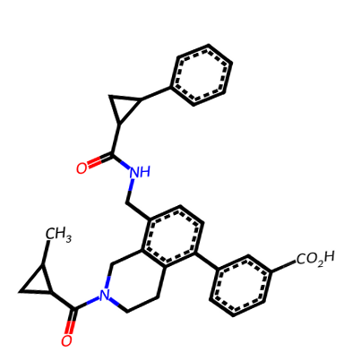 CC1CC1C(=O)N1CCc2c(-c3cccc(C(=O)O)c3)ccc(CNC(=O)C3CC3c3ccccc3)c2C1